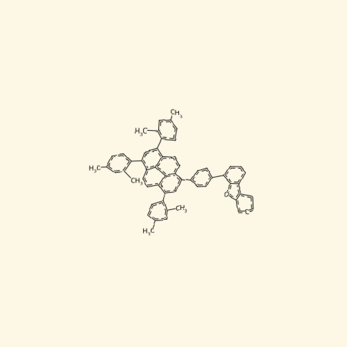 Cc1ccc(-c2cc(-c3ccc(-c4cccc5c4oc4ccccc45)cc3)c3ccc4c(-c5ccc(C)cc5C)cc(-c5ccc(C)cc5C)c5ccc2c3c45)c(C)c1